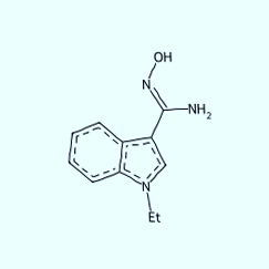 CCn1cc(C(N)=NO)c2ccccc21